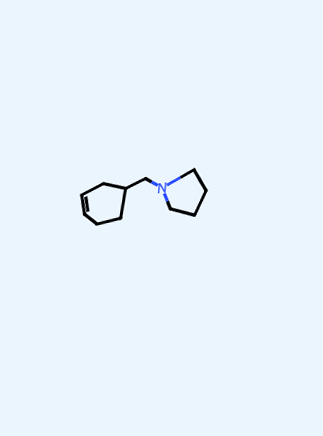 C1=CCC(CN2CCCC2)CC1